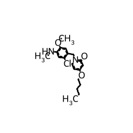 CCCCCOc1ccn(Cc2cc(OC)c(NC)cc2Cl)c(=O)c1